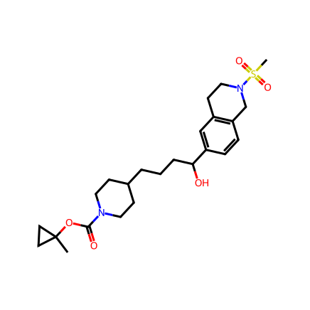 CC1(OC(=O)N2CCC(CCCC(O)c3ccc4c(c3)CCN(S(C)(=O)=O)C4)CC2)CC1